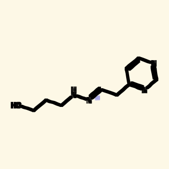 OCCCN/N=C/Cc1ccncn1